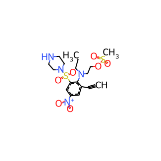 C#Cc1cc([N+](=O)[O-])cc(S(=O)(=O)N2CCNCC2)c1N(CCC)CCOS(C)(=O)=O